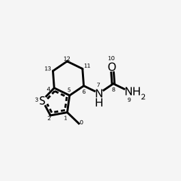 Cc1csc2c1C(NC(N)=O)CCC2